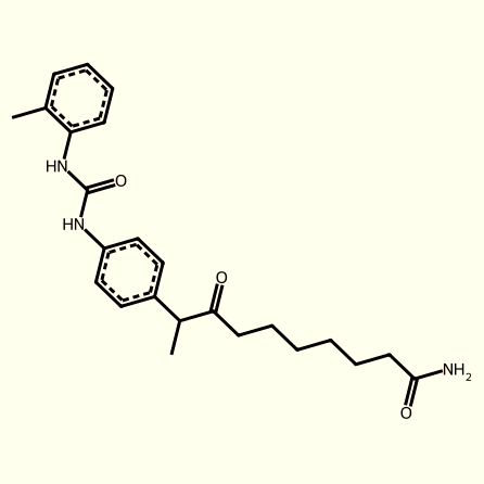 Cc1ccccc1NC(=O)Nc1ccc(C(C)C(=O)CCCCCCC(N)=O)cc1